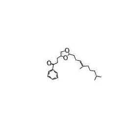 C/C(=C\CCC1OCC(CCC(=O)c2ccccc2)O1)CCCC(C)C